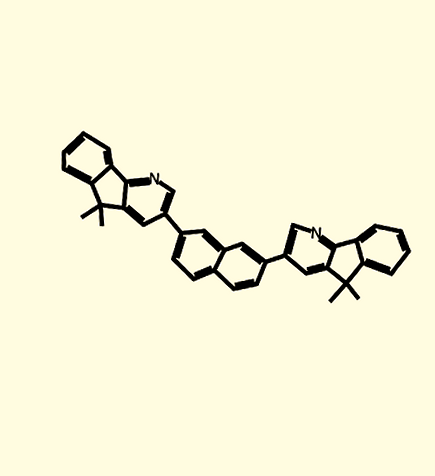 CC1(C)c2ccccc2-c2ncc(-c3ccc4ccc(-c5cnc6c(c5)C(C)(C)c5ccccc5-6)cc4c3)cc21